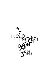 Cc1c(F)cc2nc3c(c4c2c1CC[C@@H]4NC(=O)CN(C)CCOC(C)C)Cn1c-3cc2c(c1=O)COC(=O)[C@@]2(C)O